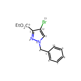 CCOC(=O)c1nn(Cc2ccccc2)cc1Br